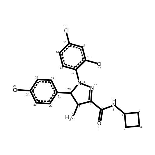 CC1C(C(=O)NC2CCC2)=NN(c2ccc(Cl)cc2Cl)C1c1ccc(Cl)cc1